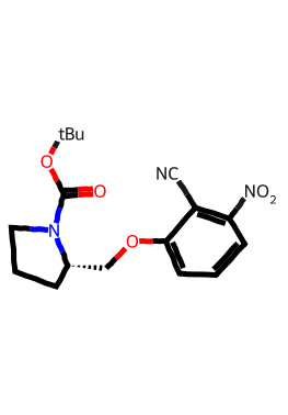 CC(C)(C)OC(=O)N1CCC[C@H]1COc1cccc([N+](=O)[O-])c1C#N